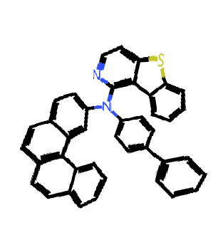 c1ccc(-c2ccc(N(c3ccc4ccc5ccc6ccccc6c5c4c3)c3nccc4sc5ccccc5c34)cc2)cc1